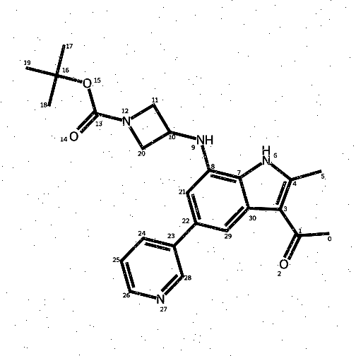 CC(=O)c1c(C)[nH]c2c(NC3CN(C(=O)OC(C)(C)C)C3)cc(-c3cccnc3)cc12